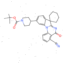 CC(C)(C)OC(=O)N1CCC(c2ccc3c(c2)-n2c(nc(=O)c4c(C#N)cccc42)C32CCCCC2)CC1